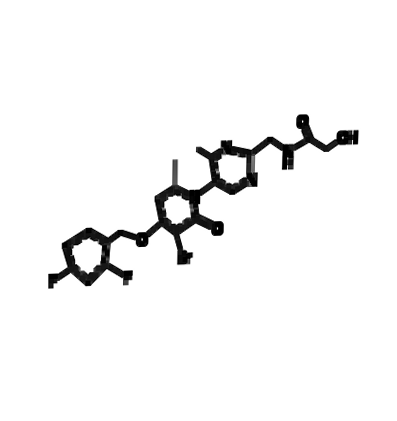 Cc1nc(CNC(=O)CO)ncc1-n1c(C)cc(OCc2ccc(F)cc2F)c(Br)c1=O